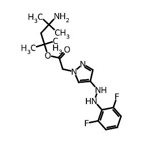 CC(C)(N)CC(C)(C)OC(=O)Cn1cc(NNc2c(F)cccc2F)cn1